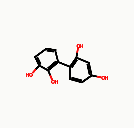 Oc1ccc(-c2[c]ccc(O)c2O)c(O)c1